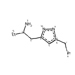 CCC(N)Cc1cn(CC(C)C)nn1